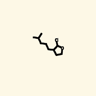 CC(C)CCCC1CCOC1Cl